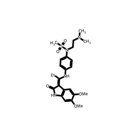 CCC(Nc1ccc(N(CCN(C)C)S(C)(=O)=O)cc1)=C1C(=O)Nc2cc(OC)c(OC)cc21